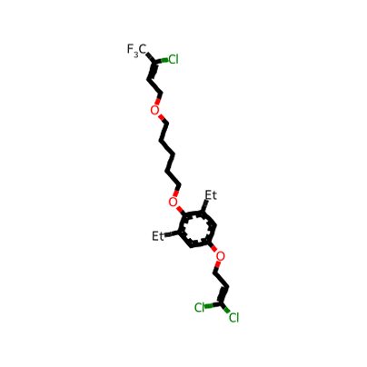 CCc1cc(OCC=C(Cl)Cl)cc(CC)c1OCCCCCOCC=C(Cl)C(F)(F)F